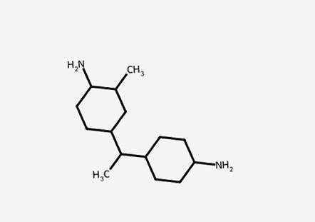 CC1CC(C(C)C2CCC(N)CC2)CCC1N